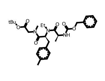 CCN(C(=O)[C@H](C)NC(=O)OCc1ccccc1)[C@@H](Cc1ccc(C)cc1)C(=O)N(C)CC(=O)OC(C)(C)C